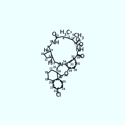 C[C@@H]1[C@@H](C)CC(=O)NC[C@@H]2CC[C@H]2CN2C[C@@]3(CCCc4cc(Cl)ccc43)COc3ccc(cc32)C(=O)NS1(=O)=O